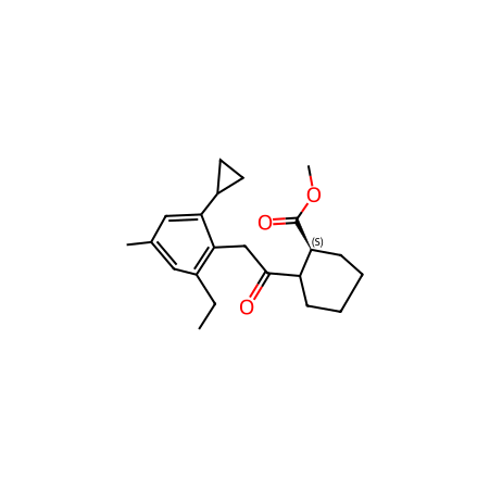 CCc1cc(C)cc(C2CC2)c1CC(=O)C1CCCC[C@@H]1C(=O)OC